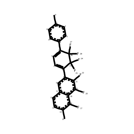 Cc1ccc(C2=CC=C(c3cc4ccc(C)c(F)c4c(F)c3F)C(F)(F)C2(F)F)cc1